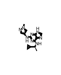 C[C@H](Nc1nc(Nc2cnn(C)c2)nc2[nH]cnc12)C1CC1